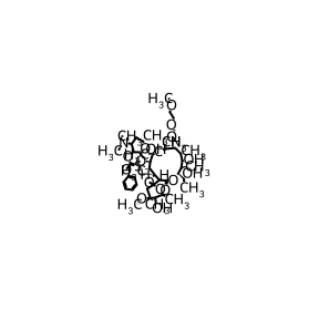 CC[C@H]1OC(=O)[C@H]2[C@@H](OC23CC(C)(OC)C(O)C(C)O3)[C@H](C)[C@@H](OC2OC(C)CC(N(C)C)C2OC(=S)Oc2ccccc2)[C@@](C)(O)C[C@@H](C)/C(=N\OCOCCOC)[C@H](C)[C@@H](O)[C@]1(C)O